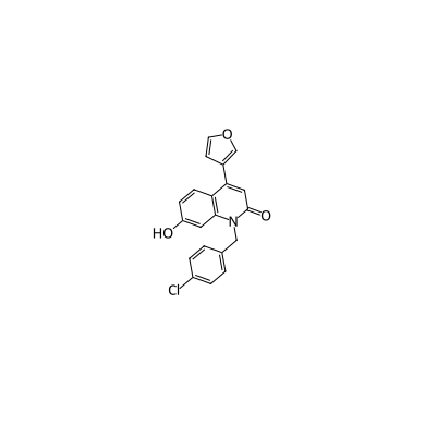 O=c1cc(-c2ccoc2)c2ccc(O)cc2n1Cc1ccc(Cl)cc1